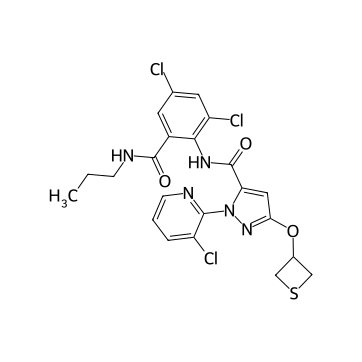 CCCNC(=O)c1cc(Cl)cc(Cl)c1NC(=O)c1cc(OC2CSC2)nn1-c1ncccc1Cl